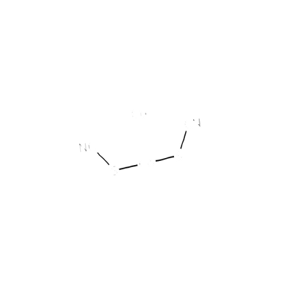 N#C[S][Co][S]C#N.[Co]